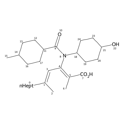 CCCCCCC/C(C)=C/C(=C(\C)C(=O)O)N(C(=O)C1CCC(C)CC1)C1CCC(O)CC1